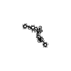 COC(=O)C(Cc1ccc(OCc2ccccc2)cc1)NC(=O)CC1CCN(S(=O)(=O)CCc2ccccc2)CC1